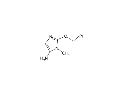 CC(C)COc1ncc(N)n1C